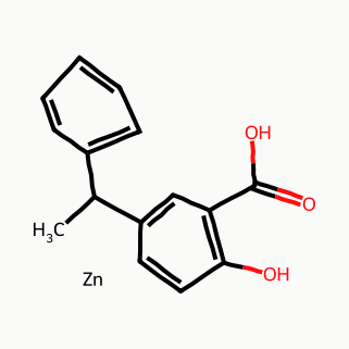 CC(c1ccccc1)c1ccc(O)c(C(=O)O)c1.[Zn]